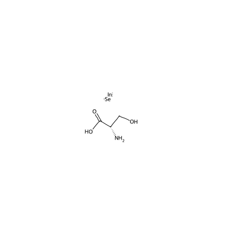 N[C@@H](CO)C(=O)O.[In].[Se]